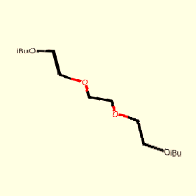 CC(C)COCCOCCOCCOCC(C)C